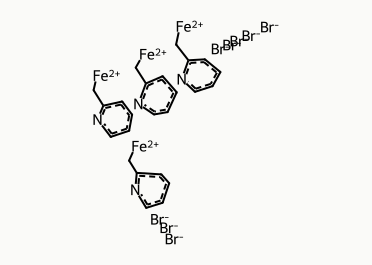 [Br-].[Br-].[Br-].[Br-].[Br-].[Br-].[Br-].[Br-].[Fe+2][CH2]c1ccccn1.[Fe+2][CH2]c1ccccn1.[Fe+2][CH2]c1ccccn1.[Fe+2][CH2]c1ccccn1